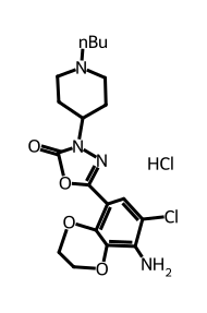 CCCCN1CCC(n2nc(-c3cc(Cl)c(N)c4c3OCCO4)oc2=O)CC1.Cl